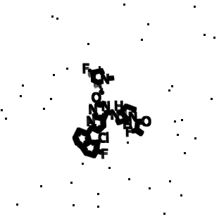 C=C(F)C(=O)N1CC[C@H]2[C@H]1CN2c1nc(OC[C@@H]2C[C@@H](F)CN2C)nc2nc(-c3cccc4ccc(F)c(Cl)c34)ccc12